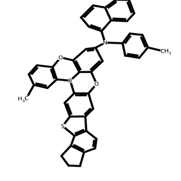 Cc1ccc(N(c2cc3c4c(c2)Oc2cc5c(cc2B4c2cc(C)ccc2O3)sc2c3c(ccc25)CCC3)c2cccc3ccccc23)cc1